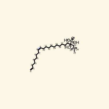 C=CCCCCCC/C=C\CCCCCCCCCCC(O)(C[N+](C)(C)C)P(=O)(O)O